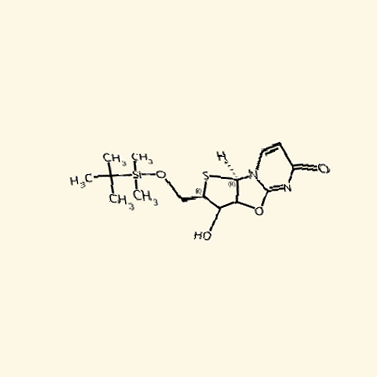 CC(C)(C)[Si](C)(C)OC[C@H]1S[C@@H]2C(Oc3nc(=O)ccn32)C1O